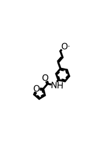 [O]CC=Cc1cccc(NC(=O)c2ccco2)c1